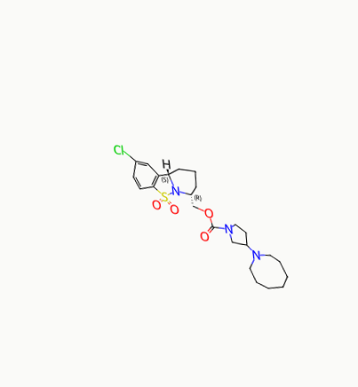 O=C(OC[C@H]1CCC[C@H]2c3cc(Cl)ccc3S(=O)(=O)N12)N1CCC(N2CCCCCCC2)C1